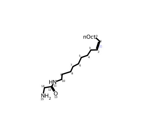 CCCCCCCC/C=C\CCCCCCCCNC(=O)CN